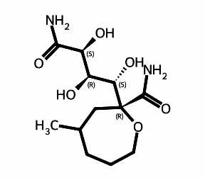 CC1CCCO[C@@](C(N)=O)([C@@H](O)[C@@H](O)[C@H](O)C(N)=O)C1